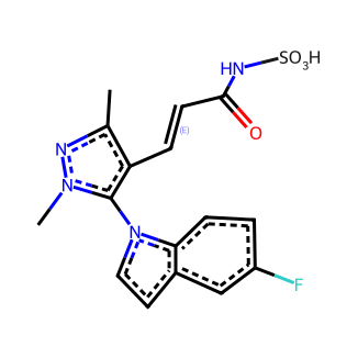 Cc1nn(C)c(-n2ccc3cc(F)ccc32)c1/C=C/C(=O)NS(=O)(=O)O